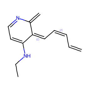 C=C/C=C\C=c1\c(NCC)ccnc1=C